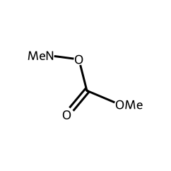 CNOC(=O)OC